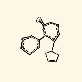 O=c1cccc(C2CC=CS2)n1-c1ccccc1